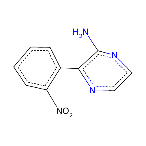 Nc1nccnc1-c1ccccc1[N+](=O)[O-]